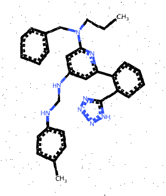 CCCN(Cc1ccccc1)c1cc(NCNc2ccc(C)cc2)cc(-c2ccccc2-c2nnn[nH]2)n1